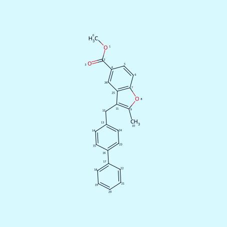 COC(=O)c1ccc2oc(C)c(Cc3ccc(-c4ccccc4)cc3)c2c1